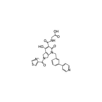 O=C(O)CNC(=O)c1c(O)c2c(n(Cc3cccc(-c4ccncc4)c3)c1=O)CN(C(=O)C1=CSC=[N+]1)C2